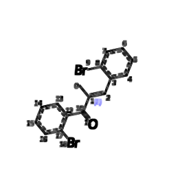 C/C(=C\c1ccccc1Br)C(=O)c1ccccc1Br